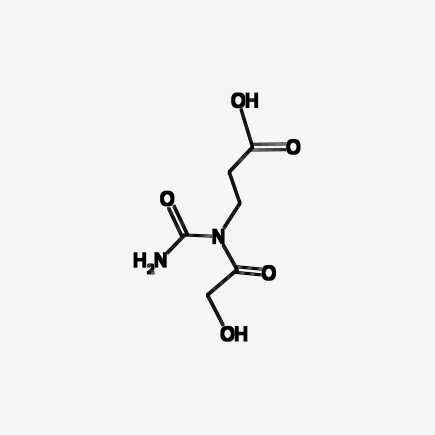 NC(=O)N(CCC(=O)O)C(=O)CO